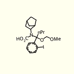 CCCC(OCOC)(c1ccccc1I)N(C(=O)O)C1CC2CCC1C2